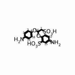 Nc1ccc(OC(CS(=O)(=O)O)Oc2ccc(N)cc2S(=O)(=O)O)cc1